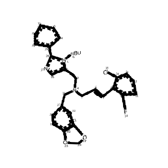 CCCCn1c(CN(CC=Cc2c(F)cccc2Cl)Cc2ccc3c(c2)OCO3)cnc1-c1ccccc1